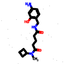 CN(C(=O)CCCC(=O)NCc1ccc(N)cc1O)C1CCC1